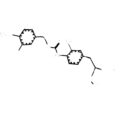 COc1ccc(COC(=O)Nc2ccc(CC(OC(C)C)C(=O)O)cc2OC)cc1C